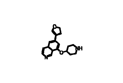 C1=CC2C=C(C3=COCC3)C=C(OC3CCNCC3)C2C=N1